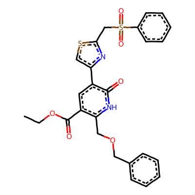 CCOC(=O)c1cc(-c2csc(CS(=O)(=O)c3ccccc3)n2)c(=O)[nH]c1COCc1ccccc1